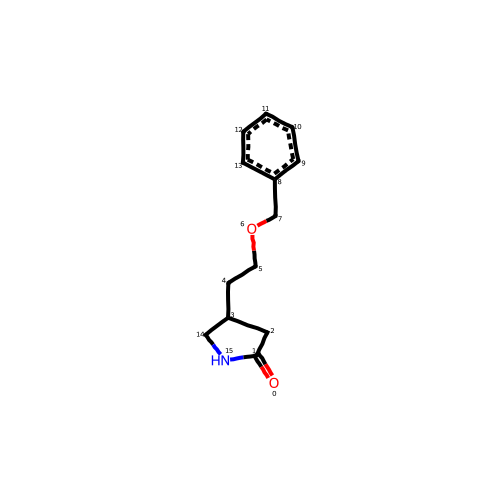 O=C1CC(CCOCc2ccccc2)CN1